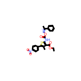 CCOC(=O)c1c(NC(=O)O/N=C(/C)c2ccccc2)sc(-c2ccc([N+](=O)[O-])cc2)c1C